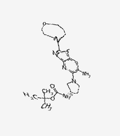 CC(C)(C)OC(=O)N[C@H]1CCN(c2nc3nc(N4CCOCC4)sc3cc2N)C1